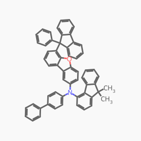 CC1(C)c2ccccc2-c2c(N(c3ccc(-c4ccccc4)cc3)c3ccc4oc5c(C6(c7ccccc7)c7ccccc7-c7ccccc76)cccc5c4c3)cccc21